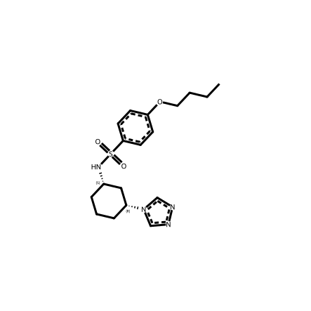 CCCCOc1ccc(S(=O)(=O)N[C@H]2CCC[C@@H](n3cnnc3)C2)cc1